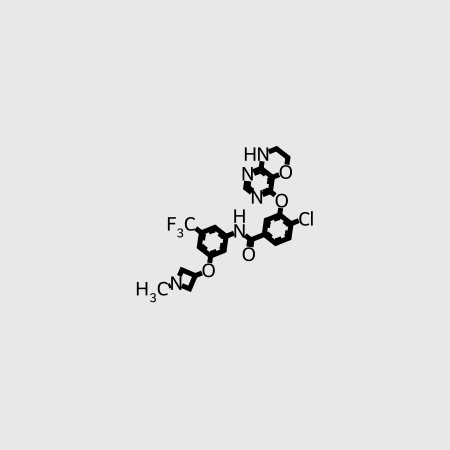 CN1CC(Oc2cc(NC(=O)c3ccc(Cl)c(Oc4ncnc5c4OCCN5)c3)cc(C(F)(F)F)c2)C1